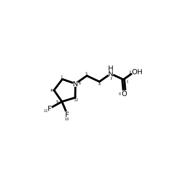 O=C(O)NCCN1CCC(F)(F)C1